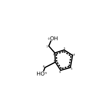 OCc1c[c]ccc1CO